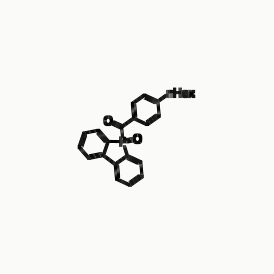 CCCCCCc1ccc(C(=O)P2(=O)c3ccccc3-c3ccccc32)cc1